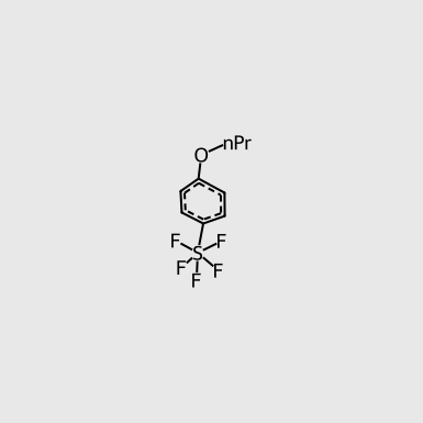 CCCOc1ccc(S(F)(F)(F)(F)F)cc1